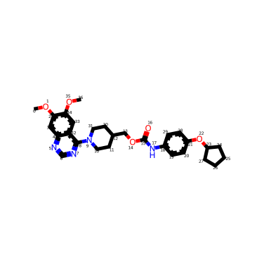 COc1cc2ncnc(N3CCC(COC(=O)Nc4ccc(OC5CCCC5)cc4)CC3)c2cc1OC